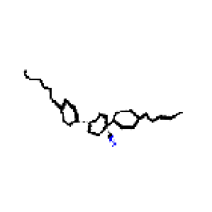 CCCCCCC1CCC([C@H]2CC[C@](C#N)(C3CCC(CCCCC)CC3)CC2)CC1